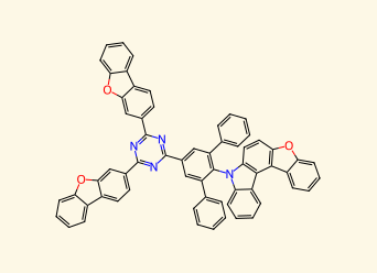 c1ccc(-c2cc(-c3nc(-c4ccc5c(c4)oc4ccccc45)nc(-c4ccc5c(c4)oc4ccccc45)n3)cc(-c3ccccc3)c2-n2c3ccccc3c3c4c(ccc32)oc2ccccc24)cc1